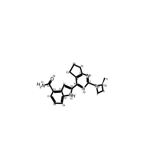 C[C@H]1CCN1c1nc2c(c(-c3cc4c(C(N)=O)cccc4[nH]3)n1)CCC2